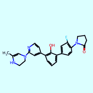 CC1=CN(c2cc(-c3cccc(-c4ccc(N5CCCC5=O)c(F)c4)c3O)ccn2)CCN1